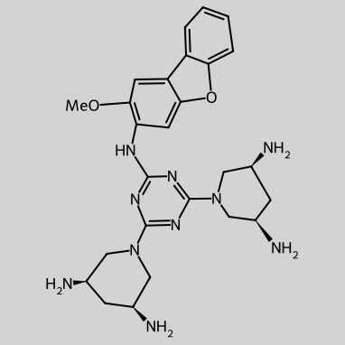 COc1cc2c(cc1Nc1nc(N3C[C@H](N)C[C@H](N)C3)nc(N3C[C@H](N)C[C@H](N)C3)n1)oc1ccccc12